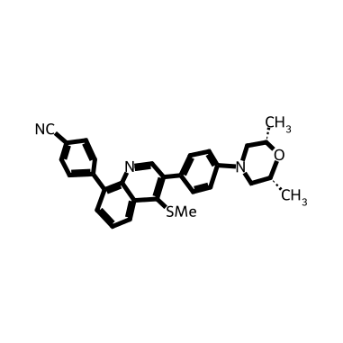 CSc1c(-c2ccc(N3C[C@@H](C)O[C@@H](C)C3)cc2)cnc2c(-c3ccc(C#N)cc3)cccc12